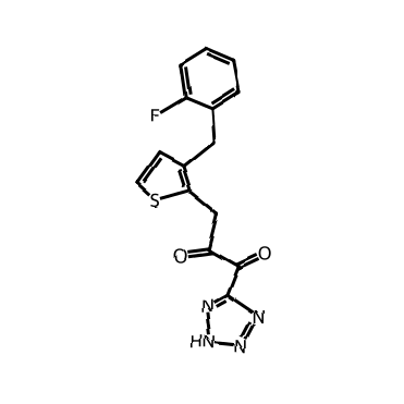 O=C(Cc1sccc1Cc1ccccc1F)C(=O)c1nn[nH]n1